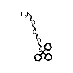 NCCOCCOCCOCCSC(c1ccccc1)(c1ccccc1)c1ccccc1